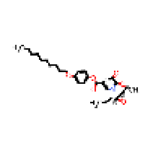 CCCCCCCCCCOc1ccc(OC(=O)C2=CN=C(O[C@H](C)[C@@H]3O[C@H]3CCC)C(=O)C2)cc1